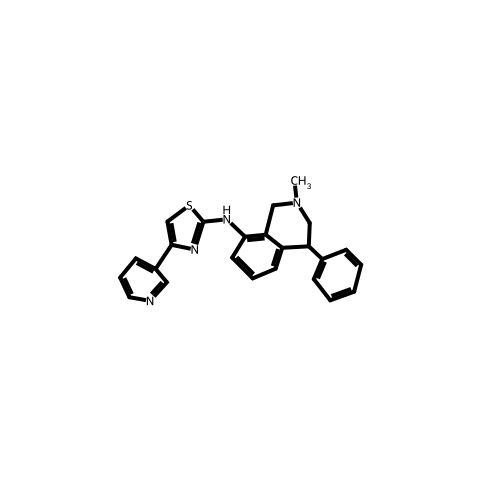 CN1Cc2c(Nc3nc(-c4cccnc4)cs3)cccc2C(c2ccccc2)C1